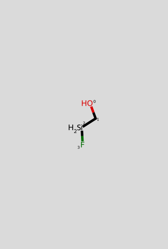 OC[SiH2]F